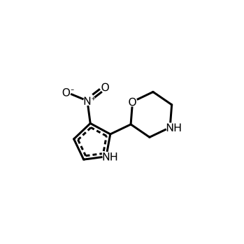 O=[N+]([O-])c1cc[nH]c1C1CNCCO1